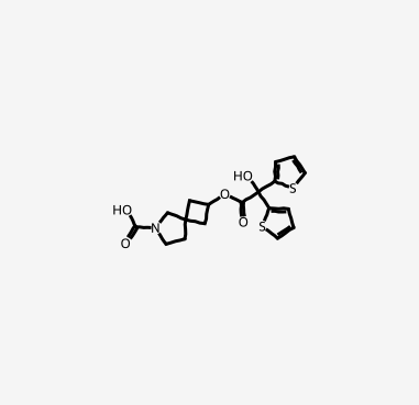 O=C(O)N1CCC2(CC(OC(=O)C(O)(c3cccs3)c3cccs3)C2)C1